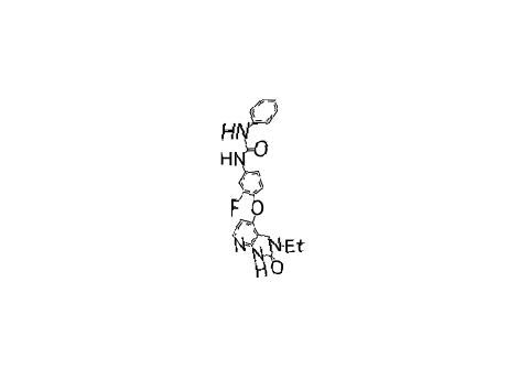 CCN1Cc2c(Oc3ccc(NC(=O)Nc4ccccc4)cc3F)ccnc2NC1=O